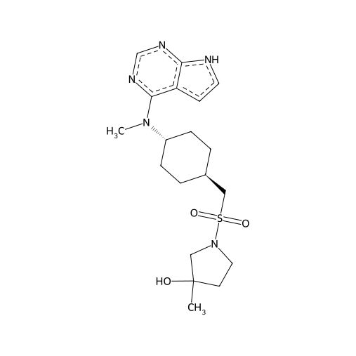 CN(c1ncnc2[nH]ccc12)[C@H]1CC[C@H](CS(=O)(=O)N2CCC(C)(O)C2)CC1